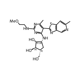 COCCNc1nc(C)c(-c2nc3cnc(C)cc3s2)c(N[C@@H]2C[C@H](CO)[C@@H](O)[C@H]2O)n1